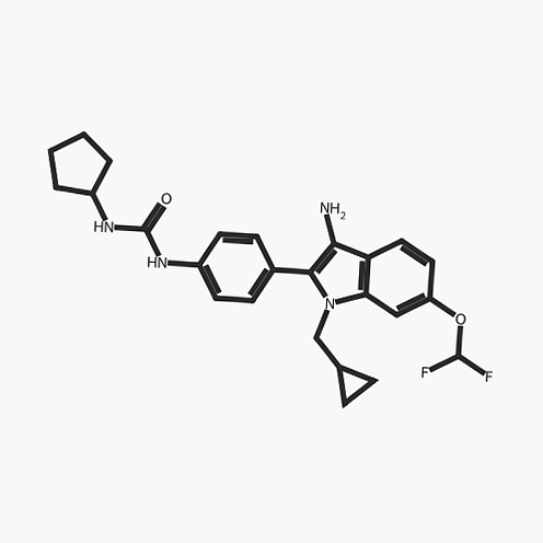 Nc1c(-c2ccc(NC(=O)NC3CCCC3)cc2)n(CC2CC2)c2cc(OC(F)F)ccc12